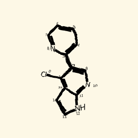 Clc1c(-c2ccccn2)cnc2[nH]ccc12